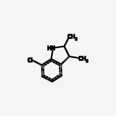 CC1Nc2c(Cl)cccc2C1C